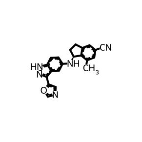 Cc1cc(C#N)cc2c1[C@@H](Nc1ccc3[nH]nc(-c4cnco4)c3c1)CC2